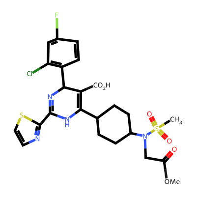 COC(=O)CN(C1CCC(C2=C(C(=O)O)C(c3ccc(F)cc3Cl)N=C(c3nccs3)N2)CC1)S(C)(=O)=O